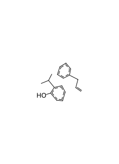 C=CCc1ccccc1.CC(C)c1ccccc1O